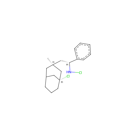 C[C@@]1(C[C@@H](NCl)c2ccccc2)CC2CCC[C@@](Cl)(C2)C1